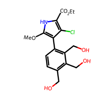 CCOC(=O)c1[nH]c(OC)c(-c2ccc(CO)c(CO)c2CO)c1Cl